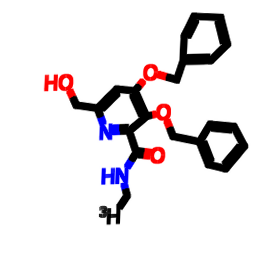 [3H]CNC(=O)c1nc(CO)cc(OCc2ccccc2)c1OCc1ccccc1